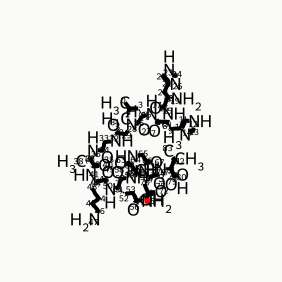 CC(C)C[C@H](NC(=O)[C@H](Cc1c[nH]cn1)NC(=O)[C@@H](N)Cc1c[nH]cn1)C(=O)NCC(=O)NCC(=O)N[C@@H](C)C(=O)N[C@@H](CCCCN)C(=O)N[C@@H](CCC(N)=O)C(=O)N[C@@H](C)C(=O)NCC(=O)N[C@@H](CC(=O)O)C(=O)N[C@H](C(=O)O)C(C)C